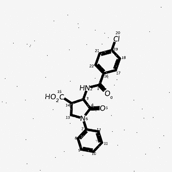 O=C(NC1C(=O)N(c2ccccc2)CC1C(=O)O)c1ccc(Cl)cc1